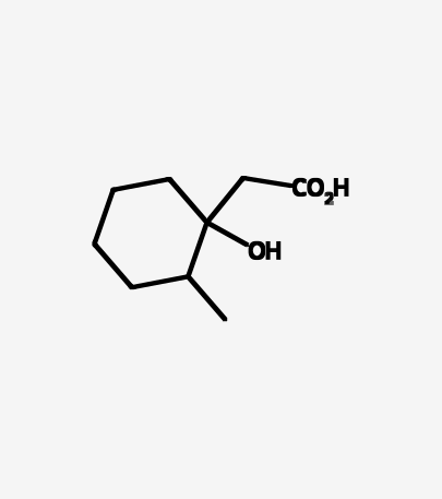 CC1CCCCC1(O)CC(=O)O